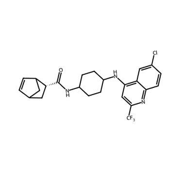 O=C(NC1CCC(Nc2cc(C(F)(F)F)nc3ccc(Cl)cc23)CC1)[C@@H]1CC2C=CC1C2